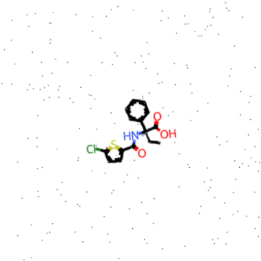 CC[C@](NC(=O)c1ccc(Cl)s1)(C(=O)O)c1ccccc1